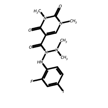 CN(C)N(Nc1ccc(I)cc1F)C(=O)c1cn(C)c(=O)n(C)c1=O